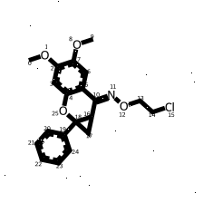 COc1cc2c(cc1OC)C(=NOCCCl)C1CC1(c1ccccc1)O2